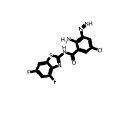 N=Nc1cc(Cl)cc(C(=O)Nc2nc3c(F)cc(F)cc3s2)c1N